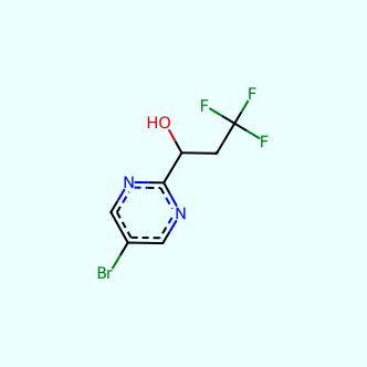 OC(CC(F)(F)F)c1ncc(Br)cn1